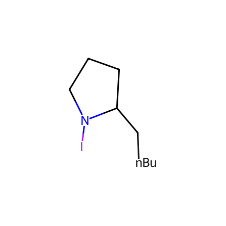 CCCCCC1CCCN1I